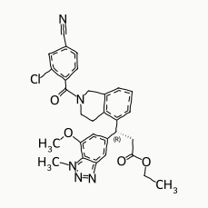 CCOC(=O)C[C@H](c1cc(OC)c2c(c1)nnn2C)c1cccc2c1CCN(C(=O)c1ccc(C#N)cc1Cl)C2